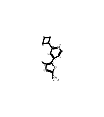 Cc1nc(N)sc1-c1ccnc(C2CCC2)c1